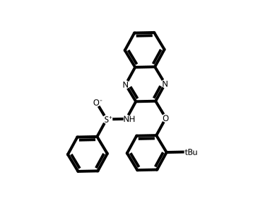 CC(C)(C)c1ccccc1Oc1nc2ccccc2nc1N[S+]([O-])c1ccccc1